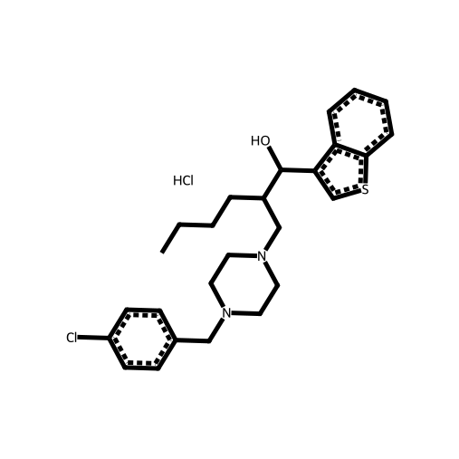 CCCCC(CN1CCN(Cc2ccc(Cl)cc2)CC1)C(O)c1csc2ccccc12.Cl